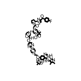 Cc1n[nH]c(Nc2ncnc3cc(OCCN4CCN(c5ncc(OCC6CN(C[C@H]7CN(C(=O)O)[C@](C)(C(C)(C)C)CN7CC(=O)N7CCCC7c7nc(C(=O)c8ccc(F)cc8)cs7)CCO6)cn5)CC4)c(S(=O)(=O)C(C)(C)C)cc23)c1C